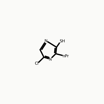 CCCc1nc(Cl)cnc1S